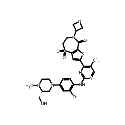 CCc1cc(N2CCN(C)[C@@H](CO)C2)ccc1Nc1ncc(C(F)(F)F)c(-c2cc3c(s2)C(=O)N(C2COC2)CCS3(=O)=O)n1